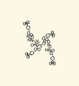 C[C@@H](NC(=O)CN(C)C(=O)OCc1ccc([N+](=O)[O-])cc1)[C@H]1C(=O)N2C(C(=O)OCc3ccc([N+](=O)[O-])cc3)=C(S[C@H]3C[C@@H](C(=O)N4CC[C@@H](NC(=O)OCc5ccc([N+](=O)[O-])cc5)C4)N(C(=O)OCc4ccc([N+](=O)[O-])cc4)C3)[C@H](C)[C@@H]12